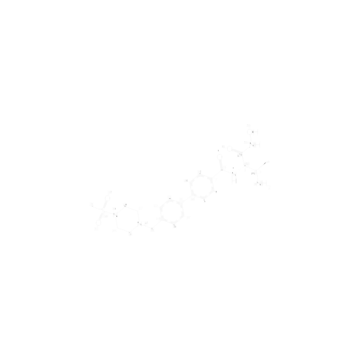 C[C@@H](N)[C@H](NC(=O)c1ccc(-c2ccc(CN3CCN(S(C)(=O)=O)CC3)cc2)cc1)C(=O)NO